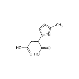 Cc1ccn(C(CC(=O)O)C(=O)O)n1